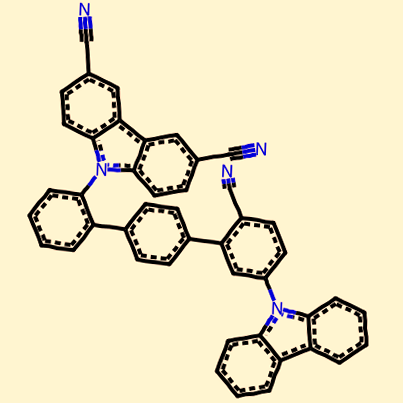 N#Cc1ccc2c(c1)c1cc(C#N)ccc1n2-c1ccccc1-c1ccc(-c2cc(-n3c4ccccc4c4ccccc43)ccc2C#N)cc1